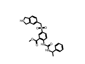 COC(=O)c1cc(S(=O)(=O)Cc2ccc3c(c2)CNC3)ccc1NC(=O)NC(C)c1ccccc1